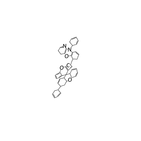 C1=CCC(C2C=CC3C(C2)OC2C=CC=CC2C32C3=C(CC(C4CC=CC5=C4OC4=C(N=CCC4)N5C4C=CC=CC4)C=C3)Oc3ccccc32)C=C1